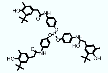 Cc1cc(CC(=O)Nc2ccc(OP(Oc3ccc(NC(=O)Cc4cc(C)c(O)c(C(C)(C)C)c4)cc3)Oc3ccc(NC(O)Cc4cc(C)c(O)c(C(C)(C)C)c4)cc3)cc2)cc(C(C)(C)C)c1O